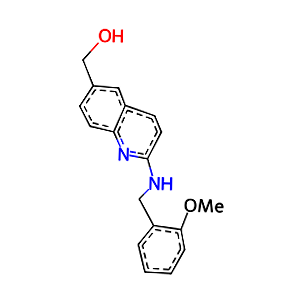 COc1ccccc1CNc1ccc2cc(CO)ccc2n1